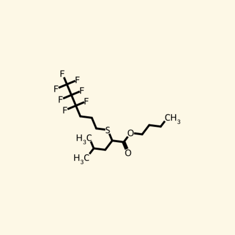 CCCCOC(=O)C(CC(C)C)SCCCC(F)(F)C(F)(F)C(F)(F)F